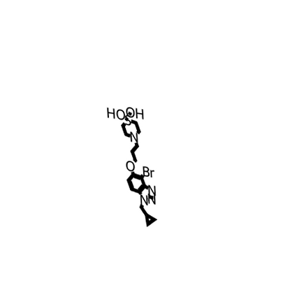 OS1(O)CCN(CCCOc2ccc3c(nnn3CC3CC3)c2Br)CC1